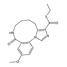 CCSC(=O)c1ncn2c1CCCCNC(=O)c1cc(OC)ccc1-2